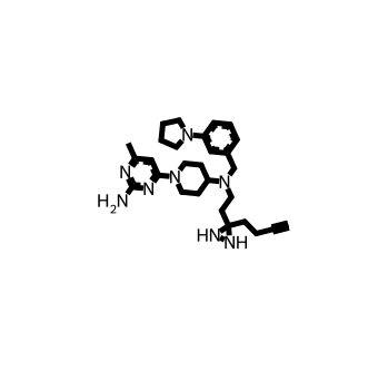 C#CCCC1(CCN(Cc2cccc(N3CCCC3)c2)C2CCN(c3cc(C)nc(N)n3)CC2)NN1